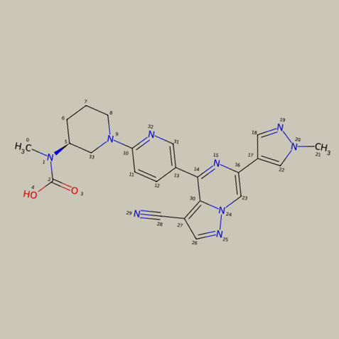 CN(C(=O)O)[C@H]1CCCN(c2ccc(-c3nc(-c4cnn(C)c4)cn4ncc(C#N)c34)cn2)C1